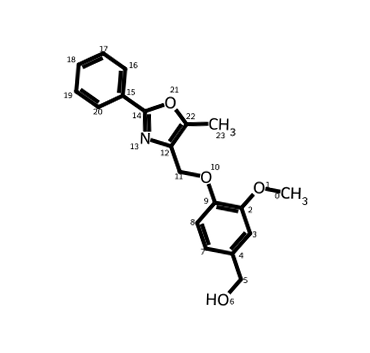 COc1cc(CO)ccc1OCc1nc(-c2ccccc2)oc1C